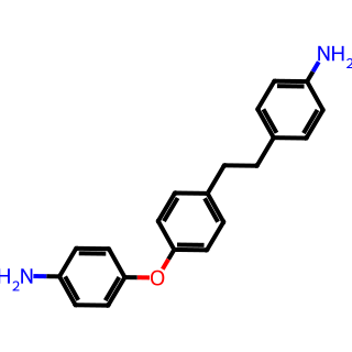 Nc1ccc(CCc2ccc(Oc3ccc(N)cc3)cc2)cc1